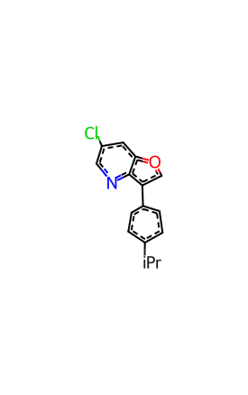 CC(C)c1ccc(-c2coc3cc(Cl)cnc23)cc1